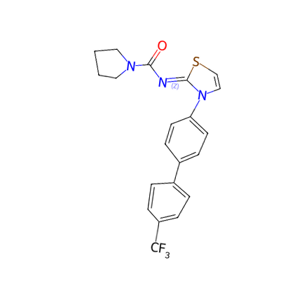 O=C(/N=c1\sccn1-c1ccc(-c2ccc(C(F)(F)F)cc2)cc1)N1CCCC1